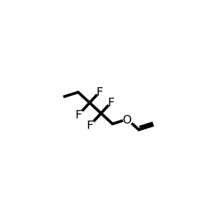 C=COCC(F)(F)C(F)(F)CC